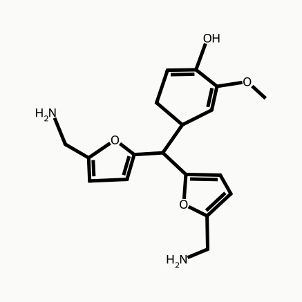 COC1=CC(C(c2ccc(CN)o2)c2ccc(CN)o2)CC=C1O